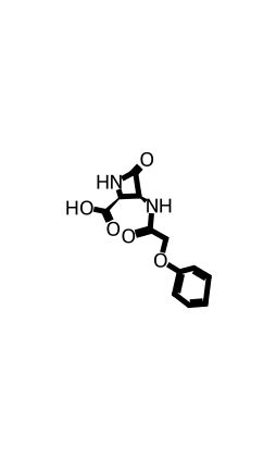 O=C(COc1ccccc1)N[C@@H]1C(=O)N[C@@H]1C(=O)O